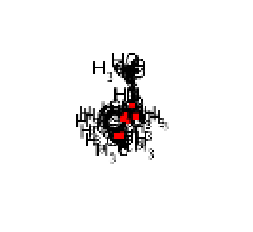 CC[C@H]1OC(=O)[C@H](C)[C@@H](O[C@H]2C[C@@](C)(OC)[C@@H](OS(=O)(=O)CCNCCCc3ccc4c(c3)c(=O)c(C(=O)O)cn4OC)[C@H](C)O2)[C@H](C)[C@@H](O[C@@H]2O[C@H](C)C[C@H](N(C)C)[C@H]2O)[C@](C)(OC)C[C@@H](C)C(=O)[C@H](C)[C@@H](O)[C@]1(C)O